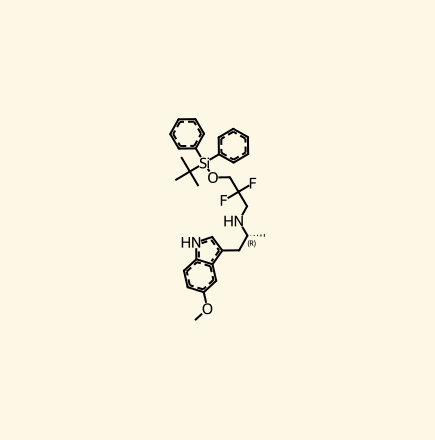 COc1ccc2[nH]cc(C[C@@H](C)NCC(F)(F)CO[Si](c3ccccc3)(c3ccccc3)C(C)(C)C)c2c1